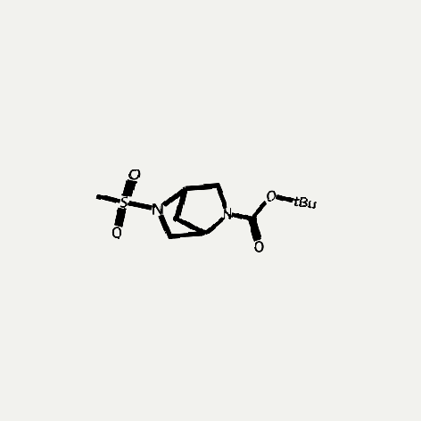 CC(C)(C)OC(=O)N1CC2CC1CN2S(C)(=O)=O